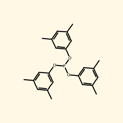 Cc1cc(C)cc(OP(Oc2cc(C)cc(C)c2)Oc2cc(C)cc(C)c2)c1